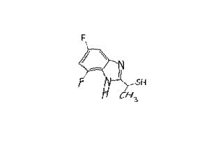 CC(S)c1nc2cc(F)cc(F)c2[nH]1